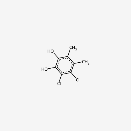 Cc1c(C)c(Cl)c(Cl)c(O)c1O